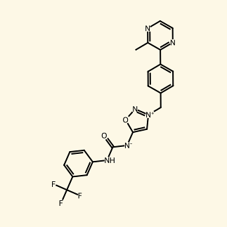 Cc1nccnc1-c1ccc(C[n+]2cc([N-]C(=O)Nc3cccc(C(F)(F)F)c3)on2)cc1